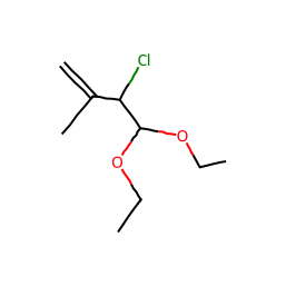 C=C(C)C(Cl)C(OCC)OCC